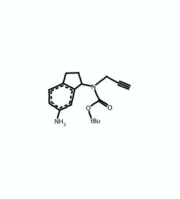 C#CCN(C(=O)OC(C)(C)C)C1CCc2ccc(N)cc21